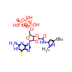 Cn1nc(C(C)(C)C)cc1NC(=O)C1OC2C(COP(=O)(O)OP(=O)(O)OP(=O)(O)O)OC(n3cnc4c(=S)[nH]c(N)nc43)C2O1